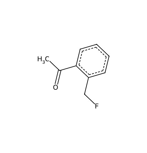 CC(=O)c1ccccc1CF